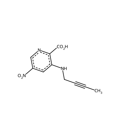 CC#CCNc1cc([N+](=O)[O-])cnc1C(=O)O